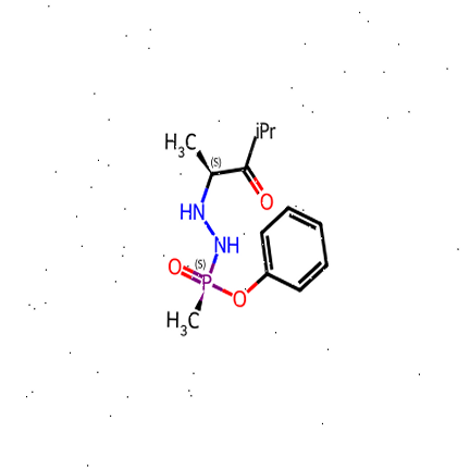 CC(C)C(=O)[C@H](C)NN[P@@](C)(=O)Oc1ccccc1